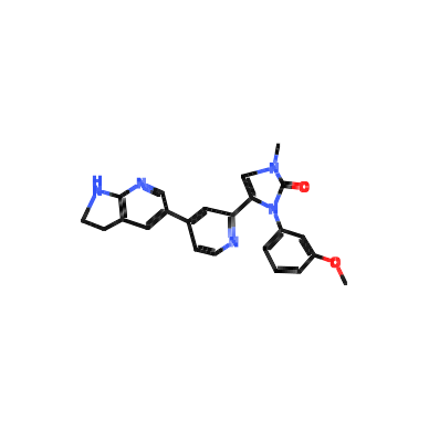 COc1cccc(-n2c(-c3cc(-c4cnc5c(c4)CCN5)ccn3)cn(C)c2=O)c1